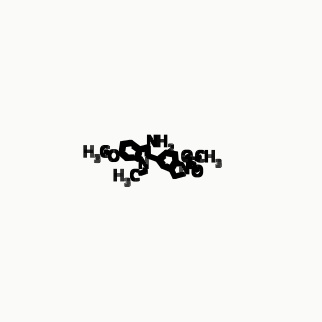 CCn1c(-c2ccc3c(c2)CCN3S(C)(=O)=O)c(N)c2ccc(OC)cc21